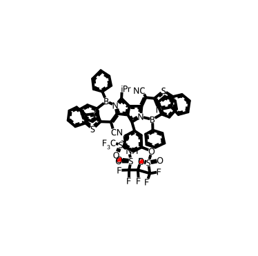 CC(C)c1c2/c(=C(\C#N)c3nc4ccccc4s3)n(B(c3ccccc3)c3ccccc3)c(-c3cccc(OS(=O)(=O)C(F)(F)C(F)(F)C(F)(F)S(=O)(=O)NS(=O)(=O)C(F)(F)F)c3)c2/c(=C(\C#N)c2nc3ccccc3s2)n1B(c1ccccc1)c1ccccc1